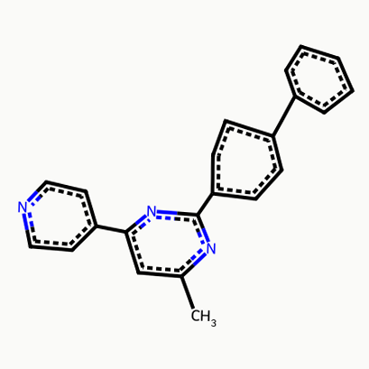 Cc1cc(-c2ccncc2)nc(-c2ccc(-c3ccccc3)cc2)n1